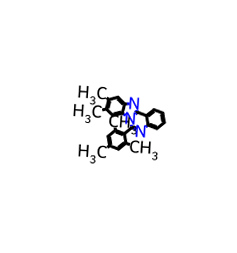 Cc1cc(C)c(-c2nc3ccccc3c3nc4cc(C)c(C)cc4n23)c(C)c1